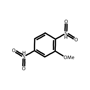 COc1cc([SH](=O)=O)ccc1[SH](=O)=O